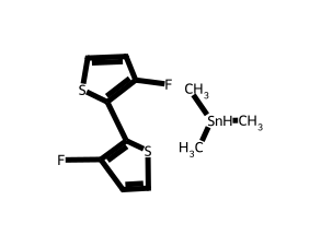 Fc1ccsc1-c1sccc1F.[CH3][SnH]([CH3])[CH3]